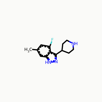 Cc1cc(F)c2c(C3CCNCC3)n[nH]c2c1